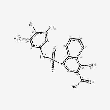 Cc1cc(NS(=O)(=O)c2cc(C(=O)O)c(O)c3ccccc23)cc(C)c1Br